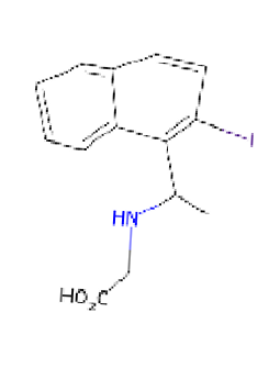 CC(NCC(=O)O)c1c(I)ccc2ccccc12